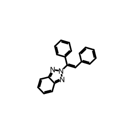 C(=C(c1ccccc1)n1nc2ccccc2n1)c1ccccc1